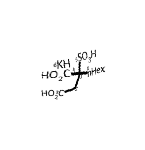 CCCCCCC(CC(=O)O)(C(=O)O)S(=O)(=O)O.[KH]